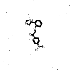 CCN(CC)c1ccc(C(=O)COc2ccccc2C2CN=CN2)cc1